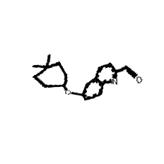 CC1(C)CCC(Oc2ccc3nc(C=O)ccc3c2)CC1